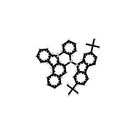 CC(C)(C)c1ccc2c3ccc(C(C)(C)C)cc3n(B3c4ccccc4-n4c5ccccc5c5c6ccccc6cc3c54)c2c1